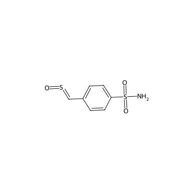 NS(=O)(=O)c1ccc(C=S=O)cc1